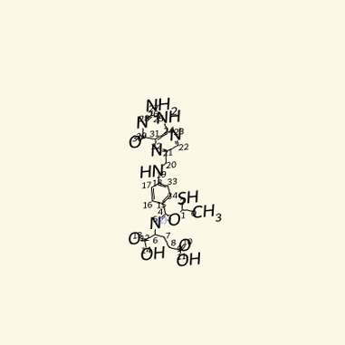 CC(S)O/C(=N\C(CCC(=O)O)C(=O)O)c1ccc(NCc2cnc3[nH]c(N)nc(=O)c3n2)cc1